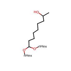 CCCCCCOC(CCCCCCC(C)O)OCCCCCC